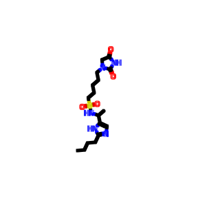 CCCCc1ncc(C(C)NS(=O)(=O)CCCCCN2CC(=O)NC2=O)[nH]1